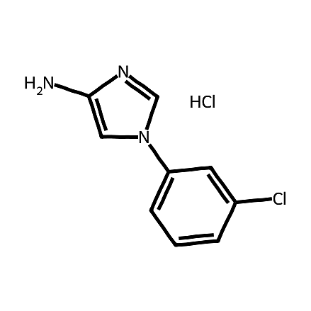 Cl.Nc1cn(-c2cccc(Cl)c2)cn1